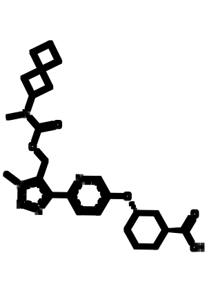 CN(C(=O)OCc1c(-c2ccc(O[C@H]3CCC[C@H](C(=O)O)C3)cn2)nnn1C)C1CC2(CCC2)C1